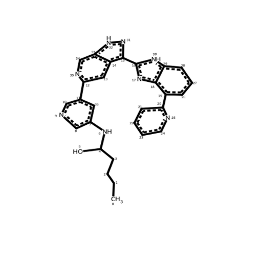 CCCCC(O)Nc1cncc(-c2cc3c(-c4nc5c(-c6ccccn6)cccc5[nH]4)n[nH]c3cn2)c1